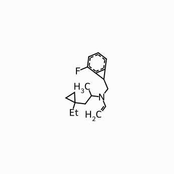 C=CN(CC1c2cccc(F)c21)C(C)CC1(CC)CC1